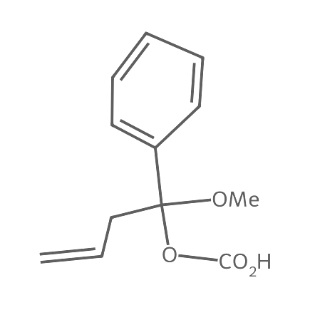 C=CCC(OC)(OC(=O)O)c1ccccc1